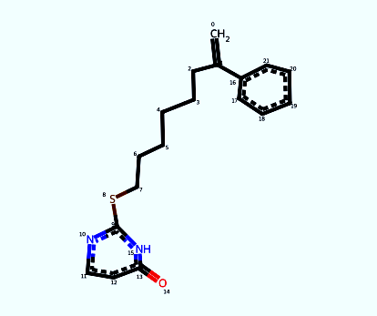 C=C(CCCCCCSc1nccc(=O)[nH]1)c1ccccc1